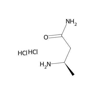 C[C@@H](N)CC(N)=O.Cl.Cl